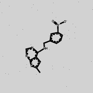 Cc1cc2c(NCc3cccc([N+](=O)[O-])c3)ncnc2s1